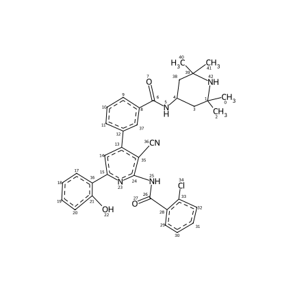 CC1(C)CC(NC(=O)c2cccc(-c3cc(-c4ccccc4O)nc(NC(=O)c4ccccc4Cl)c3C#N)c2)CC(C)(C)N1